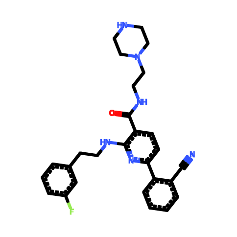 N#Cc1ccccc1-c1ccc(C(=O)NCCN2CCNCC2)c(NCCc2cccc(F)c2)n1